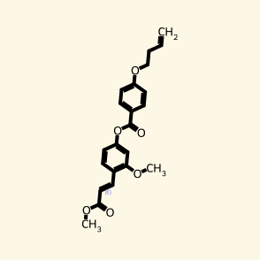 C=CCCOc1ccc(C(=O)Oc2ccc(/C=C/C(=O)OC)c(OC)c2)cc1